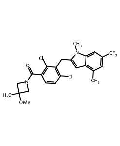 COC1(C)CN(C(=O)c2ccc(Cl)c(Cc3cc4c(C)cc(C(F)(F)F)cc4n3C)c2Cl)C1